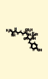 CCNN[C@@H](Cc1ccc(O)cc1)C(=O)N[C@@H](CCCNC(=N)N)C(=O)O